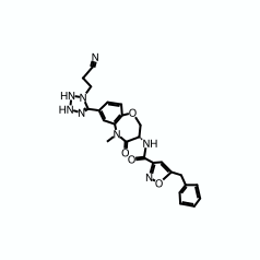 CN1C(=O)[C@@H](NC(=O)c2cc(Cc3ccccc3)on2)COc2ccc(C3=NNNN3CCC#N)cc21